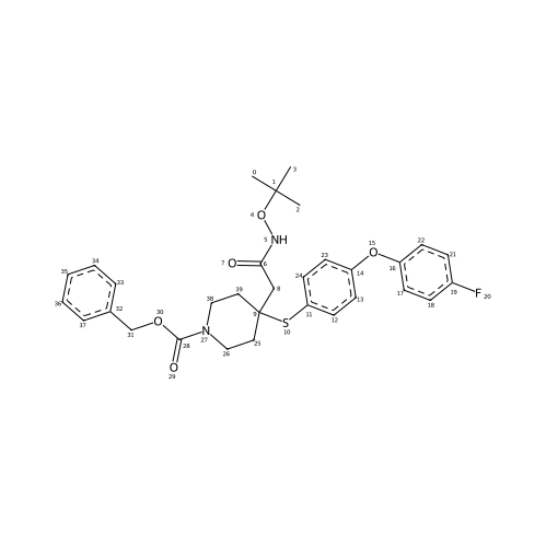 CC(C)(C)ONC(=O)CC1(Sc2ccc(Oc3ccc(F)cc3)cc2)CCN(C(=O)OCc2ccccc2)CC1